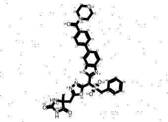 CC1(Cc2nnc(C(c3nc4ccc(-c5ccc(C(=O)N6CCOCC6)cc5)cc4s3)S(=O)(=O)Cc3ccccc3)o2)NC(=O)NC1=O